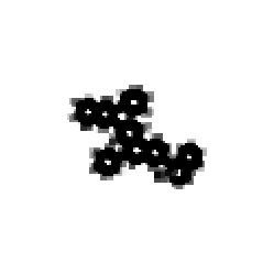 C1=c2ccccc2=C(c2ccc3c(c2)cc(-c2ccccc2)c2cc(-c4cc5ccccc5cc4-c4ccccc4)ccc23)NC1